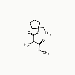 CCC1(OC(=O)C(C)C(=O)OC)CCCC1